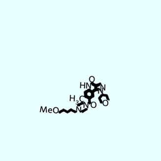 COCCCCCN1CCN(C(=O)c2cc3c(cc2C)[nH]c(=O)c2cnn(C4CCOCC4)c23)CC1